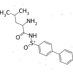 CC(C)CC(N)C(=O)N[S+]([O-])c1ccc(-c2ccccc2)cc1